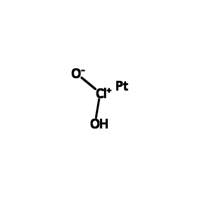 [O-][Cl+]O.[Pt]